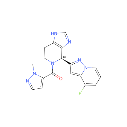 Cn1nccc1C(=O)N1CCc2[nH]cnc2[C@H]1c1cc2c(F)cccn2n1